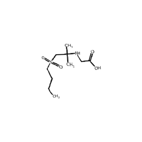 CCCCS(=O)(=O)CC(C)(C)NCC(=O)O